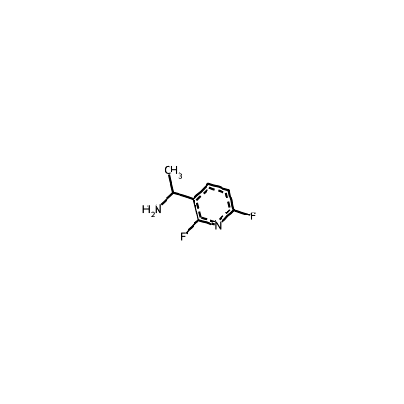 CC(N)c1ccc(F)nc1F